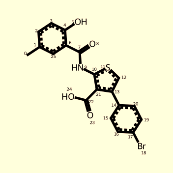 Cc1ccc(O)c(C(=O)Nc2scc(-c3ccc(Br)cc3)c2C(=O)O)c1